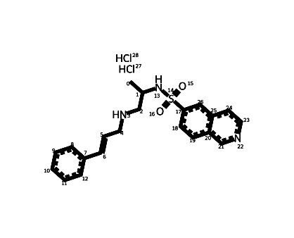 CC(CNC/C=C/c1ccccc1)NS(=O)(=O)c1ccc2cnccc2c1.Cl.Cl